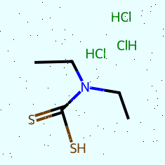 CCN(CC)C(=S)S.Cl.Cl.Cl